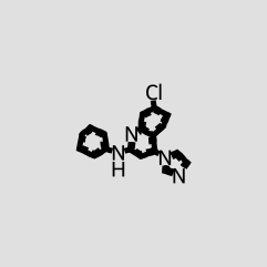 Clc1ccc2c(-n3ccnc3)cc(Nc3ccccc3)nc2c1